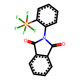 O=C1c2ccccc2C(=O)N1c1ccccc1S(F)(F)(F)(F)F